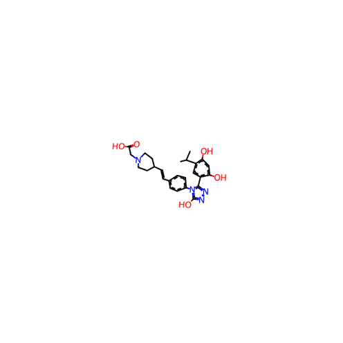 CC(C)c1cc(-c2nnc(O)n2-c2ccc(C=CC3CCN(CC(=O)O)CC3)cc2)c(O)cc1O